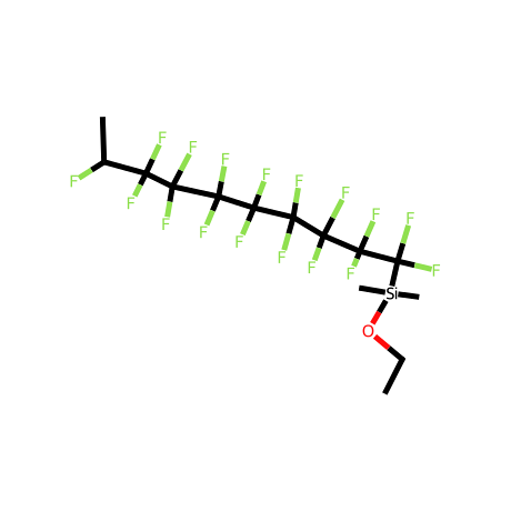 CCO[Si](C)(C)C(F)(F)C(F)(F)C(F)(F)C(F)(F)C(F)(F)C(F)(F)C(F)(F)C(F)(F)C(C)F